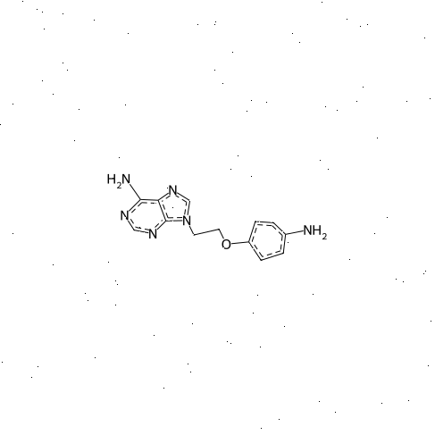 Nc1ccc(OCCn2cnc3c(N)ncnc32)cc1